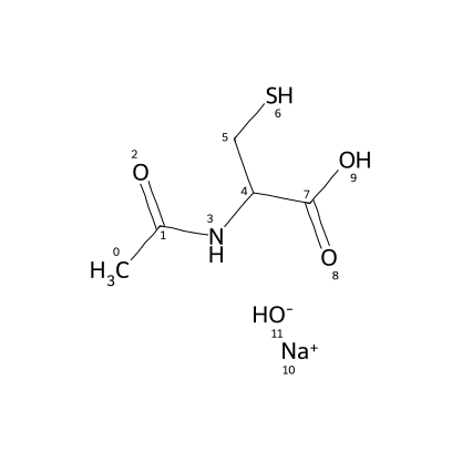 CC(=O)NC(CS)C(=O)O.[Na+].[OH-]